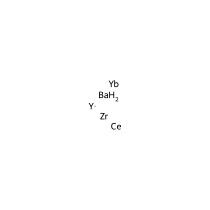 [BaH2].[Ce].[Y].[Yb].[Zr]